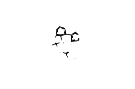 CCCCCCCC(=O)Br.N#Cc1c[nH]cc1-c1cccc2c1OC(F)(F)O2